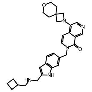 O=c1c2cncc(N3CC4(CCOCC4)C3)c2ccn1Cc1ccc2cc(CNCC3CCC3)[nH]c2c1